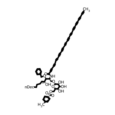 CC#CC#CC#CC#CC#CC#CC#CC#CC#CC#CC#CC#CC(=O)N[C@@H](CO[C@H]1OC(COS(=O)(=O)c2ccc(C)cc2)[C@H](O)[C@H](O)C1O)[C@H](OCc1ccccc1)[C@H](O)CCCCCCCCCCCCCC